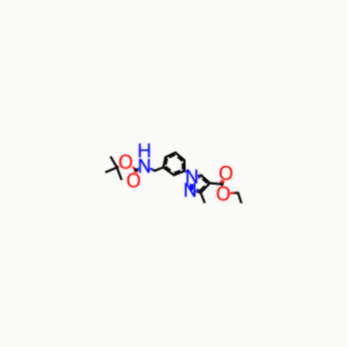 CCOC(=O)c1cn(-c2cccc(CNC(=O)OC(C)(C)C)c2)nc1C